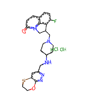 Cl.Cl.O=c1ccc2ccc(F)c3c2n1CC3CN1CCC(NCc2cc3c(nn2)OCCS3)CC1